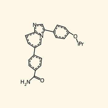 CC(C)Oc1ccc(-c2cnc3ccc(-c4ccc(C(N)=O)cc4)cn23)cc1